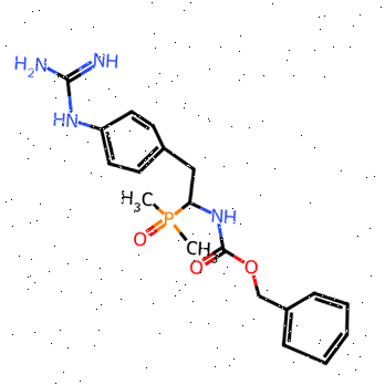 CP(C)(=O)C(Cc1ccc(NC(=N)N)cc1)NC(=O)OCc1ccccc1